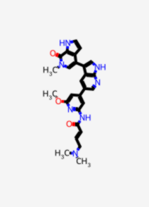 COc1cc(-c2cnc3[nH]cc(-c4cn(C)c(=O)c5[nH]ccc45)c3c2)cc(NC(=O)/C=C/CN(C)C)n1